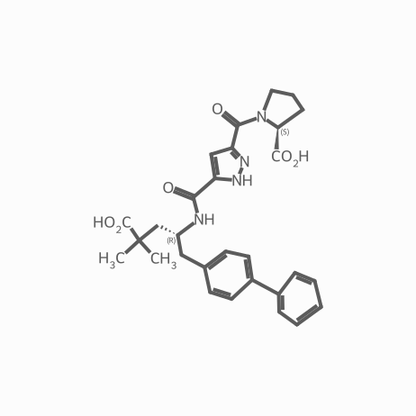 CC(C)(C[C@@H](Cc1ccc(-c2ccccc2)cc1)NC(=O)c1cc(C(=O)N2CCC[C@H]2C(=O)O)n[nH]1)C(=O)O